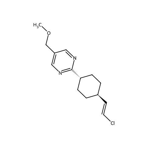 COCc1cnc([C@H]2CC[C@H](/C=C/Cl)CC2)nc1